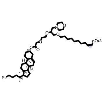 CCCCCCCC/C=C\CCCCCCCCOCC(CN1CCOCC1)OCCOCC(=O)O[C@H]1CC[C@@]2(C)C(=CC[C@H]3C4CCC([C@H](C)CCCC(C)C)[C@@]4(C)CC[C@H]32)C1